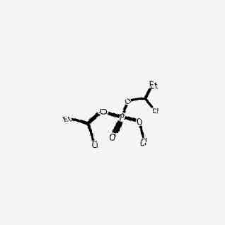 CCC(Cl)OP(=O)(OCl)OC(Cl)CC